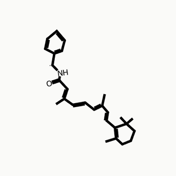 CC(C=CC1=C(C)CCCC1(C)C)=CC=CC(C)=CC(=O)N[CH]c1ccccc1